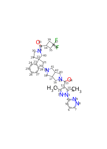 Cc1nn(-c2cccnn2)c(C)c1C(=O)N1CC2CN(CCC3(c4ccccc4)CCN(C(=O)C4CC(F)(F)C4)C3)CC2C1